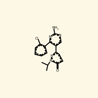 CC(C)n1nc(-c2cnc(N)nc2-c2ccccc2Cl)ccc1=O